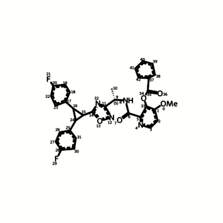 COc1ccnc(C(=O)N[C@@H](C)c2noc(C3C(c4ccc(F)cc4)C3c3ccc(F)cc3)n2)c1OC(=O)c1ccccc1